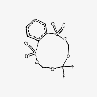 O=S1(=O)OCOC(F)(F)OCOS(=O)(=O)c2ccccc21